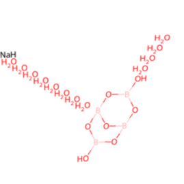 O.O.O.O.O.O.O.O.O.O.O.O.OB1OB2OB(O)OB(O1)O2.[NaH]